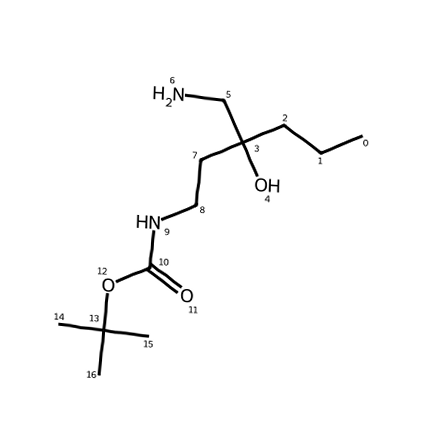 CCCC(O)(CN)CCNC(=O)OC(C)(C)C